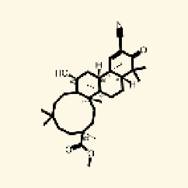 COC(=O)[C@@]1(C)CCC(C)(C)CCC2[C@@H](O)C[C@@H]3[C@@]4(C)C=C(C#N)C(=O)C(C)(C)[C@@H]4CC[C@@]3(C)[C@]2(C)CC1